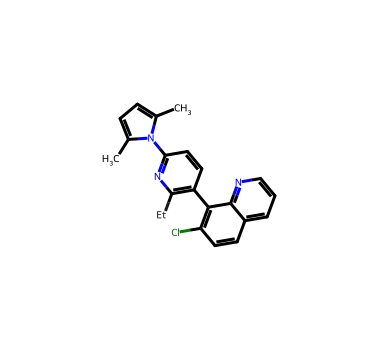 CCc1nc(-n2c(C)ccc2C)ccc1-c1c(Cl)ccc2cccnc12